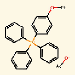 CC(=O)[O-].CCOc1ccc([P+](c2ccccc2)(c2ccccc2)c2ccccc2)cc1